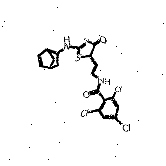 O=C(NCCC1SC(NC2CC3C=CC2C3)=NC1=O)c1c(Cl)cc(Cl)cc1Cl